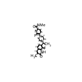 CNC(=O)c1ccc(N2CCN(C(C)c3ccc4cc(C)c(=O)[nH]c4c3F)CC2)c(F)n1